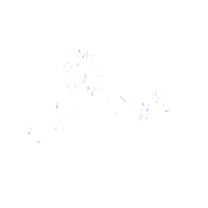 C=CC(=O)NCc1cccc(-c2ccc(C(N)=O)c(Oc3ccc(Oc4ccccc4)cc3)n2)c1